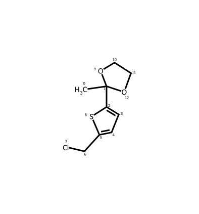 CC1(c2ccc(CCl)s2)OCCO1